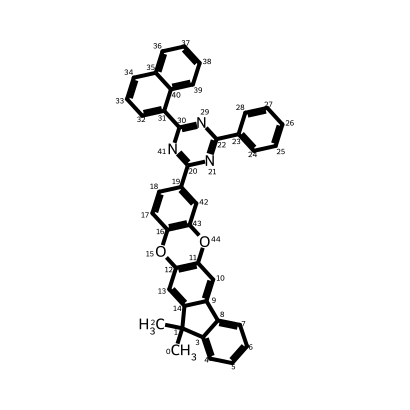 CC1(C)c2ccccc2-c2cc3c(cc21)Oc1ccc(-c2nc(-c4ccccc4)nc(-c4cccc5ccccc45)n2)cc1O3